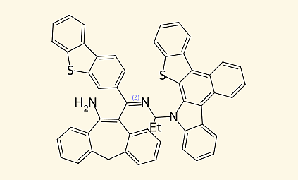 CCC(/N=C(\C1=C(N)c2ccccc2Cc2ccccc21)c1ccc2c(c1)sc1ccccc12)n1c2ccccc2c2c3ccccc3c3c4ccccc4sc3c21